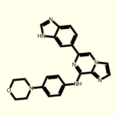 c1cn2cc(-c3ccc4nc[nH]c4c3)nc(Nc3ccc(N4CCOCC4)cc3)c2n1